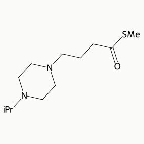 CSC(=O)CCCN1CCN(C(C)C)CC1